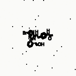 CC(=O)Nc1ccc(CNc2nc(N3CCCC[C@H]3CCO)nc3c(Br)cnn23)cc1